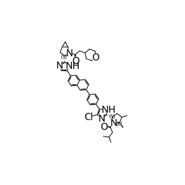 CC(C)CC(=O)N1[C@H](C)C(C)C[C@H]1c1nc(Cl)c(-c2ccc(-c3ccc4cc(-c5cnc([C@@H]6CC7CC7N6C(=O)CC6CCOCC6)[nH]5)ccc4c3)cc2)[nH]1